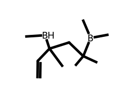 C=CC(C)(BC)CC(C)(C)B(C)C